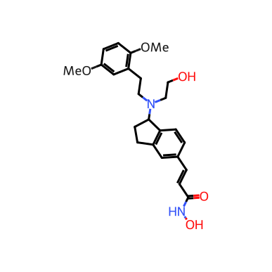 COc1ccc(OC)c(CCN(CCO)C2CCc3cc(C=CC(=O)NO)ccc32)c1